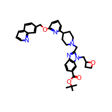 CC(C)(C)OC(=O)c1ccc2nc(CN3CCC(c4cccc(OCc5ccc6cccnc6c5)n4)CC3)n(CC3CCO3)c2c1